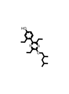 CCc1cc(O)ccc1-c1nc(CC)c(OCC(C)CC(C)C)nc1CC